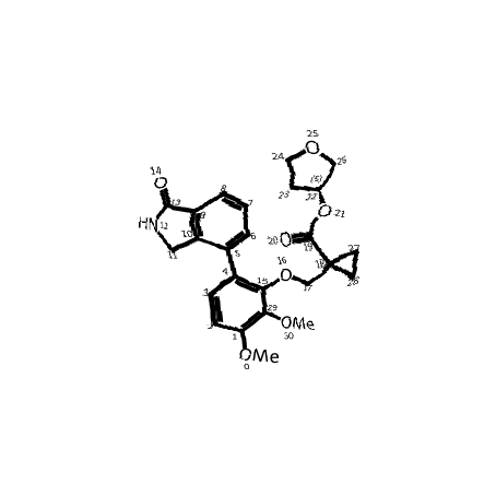 COc1ccc(-c2cccc3c2CNC3=O)c(OCC2(C(=O)O[C@H]3CCOC3)CC2)c1OC